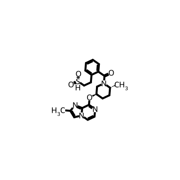 Cc1cn2ccnc(O[C@@H]3CC[C@@H](C)N(C(=O)c4ccccc4CC[SH](=O)=O)C3)c2n1